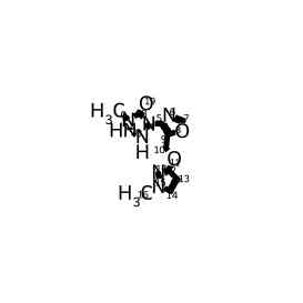 CN1NNN(c2ncoc2COc2ccn(C)n2)C1=O